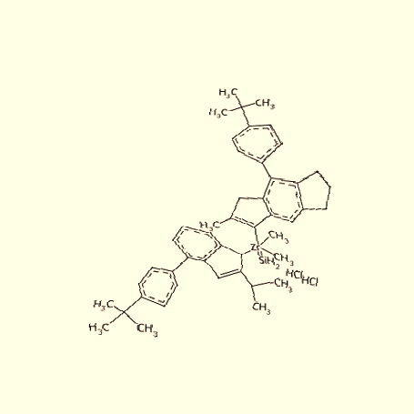 CC1=[C]([Zr]([CH3])([CH3])(=[SiH2])[CH]2C(C(C)C)=Cc3c(-c4ccc(C(C)(C)C)cc4)cccc32)c2cc3c(c(-c4ccc(C(C)(C)C)cc4)c2C1)CCC3.Cl.Cl